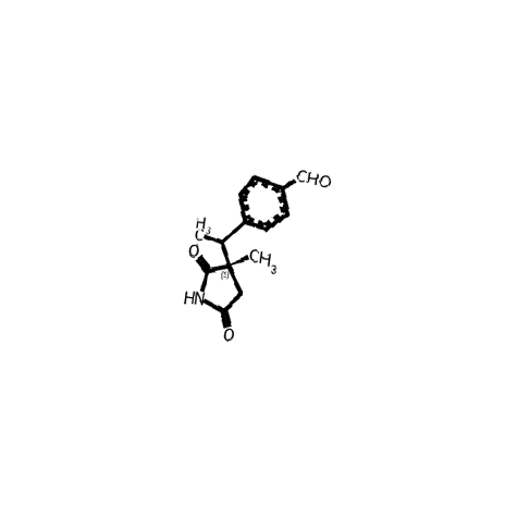 CC(c1ccc(C=O)cc1)[C@]1(C)CC(=O)NC1=O